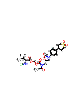 CC(=O)N(C[C@H]1CN(c2ccc(C3CCS(=O)(=O)CC3)c(F)c2)C(=O)O1)C(=O)OCOC(=O)[C@@H](NCl)C(C)C